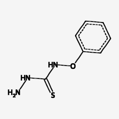 NNC(=S)NOc1ccccc1